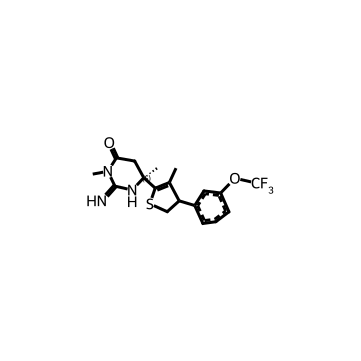 CC1=C([C@]2(C)CC(=O)N(C)C(=N)N2)SCC1c1cccc(OC(F)(F)F)c1